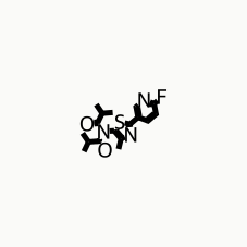 Cc1nc(-c2ccc(F)nc2)sc1N(C(=O)C(C)C)C(=O)C(C)C